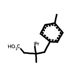 Cc1ccc(CC(C)(CC(=O)O)C(C)C)cc1